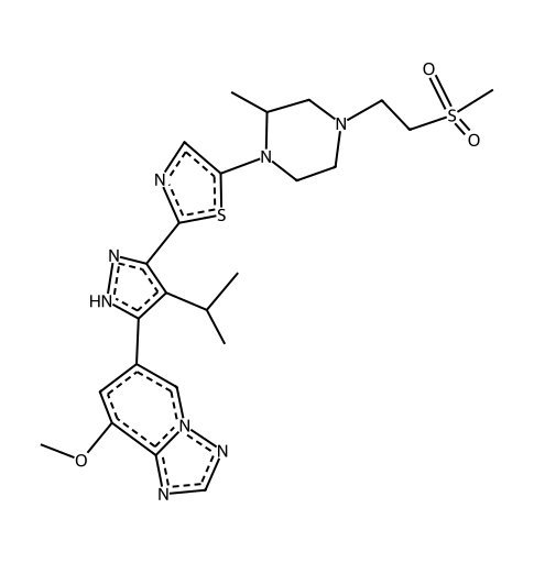 COc1cc(-c2[nH]nc(-c3ncc(N4CCN(CCS(C)(=O)=O)CC4C)s3)c2C(C)C)cn2ncnc12